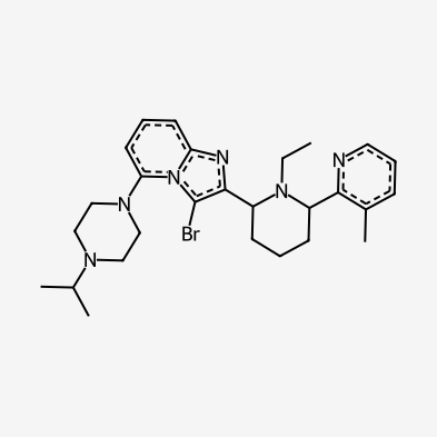 CCN1C(c2ncccc2C)CCCC1c1nc2cccc(N3CCN(C(C)C)CC3)n2c1Br